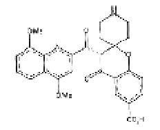 COc1cc(C(=O)[C@H]2C(=O)c3cc(C(=O)O)ccc3OC23CCNCC3)nc2c(OC)cccc12